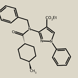 CCOC(=O)c1cn(-c2ccccc2)nc1N(Cc1ccccc1)C(=O)[C@H]1CC[C@H](C)CC1